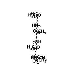 CON(CCCCCNC(=O)CCC(=O)N(CCCCCNC(=O)CCC(=O)N(CCCCCNc1c(C(C)(C)C)c(=O)c1=O)OC)OC)C(C)=O